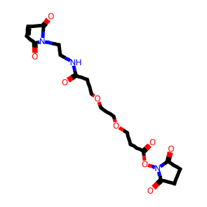 O=C(CCOCCOCCC(=O)ON1C(=O)CCC1=O)NCCN1C(=O)C=CC1=O